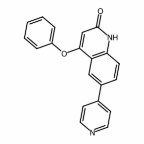 O=c1cc(Oc2ccccc2)c2cc(-c3ccncc3)ccc2[nH]1